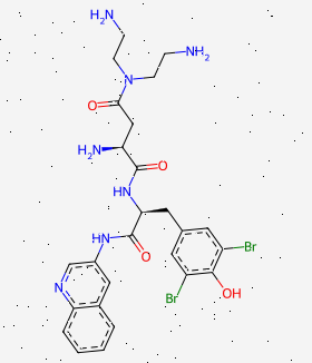 NCCN(CCN)C(=O)C[C@H](N)C(=O)N[C@@H](Cc1cc(Br)c(O)c(Br)c1)C(=O)Nc1cnc2ccccc2c1